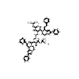 C=C(C)OC(=O)N[C@@H](CSSC[C@H](NC(=O)OC(=C)C)C(=O)N1CCn2nc(-c3ccccc3)cc2C1CCc1ccccc1)C(=O)N1CCn2nc(-c3ccccc3)cc2C1CCc1ccccc1